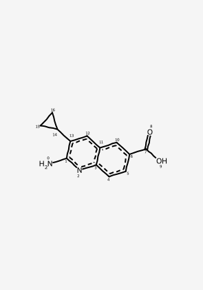 Nc1nc2ccc(C(=O)O)cc2cc1C1CC1